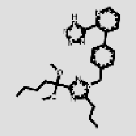 CCCCC(OC)(OC)c1nc(CCC)n(Cc2ccc(-c3cccnc3-c3nnn[nH]3)cc2)n1